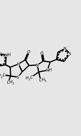 CC1(C)SC2C(N3C(=O)C(c4cnsc4)NC3(C)C)C(=O)N2C1c1nnn[nH]1